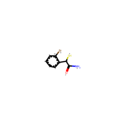 NC(=O)C(S)c1ccccc1Br